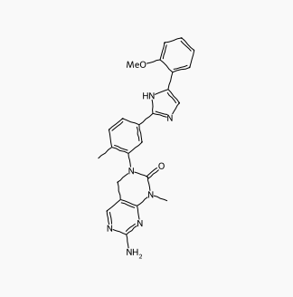 COc1ccccc1-c1cnc(-c2ccc(C)c(N3Cc4cnc(N)nc4N(C)C3=O)c2)[nH]1